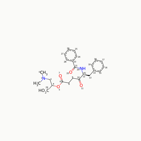 CN(C)CC(OC(=O)CCC(=O)[C@H](Cc1ccccc1)NC(=O)c1ccccc1)C(=O)O